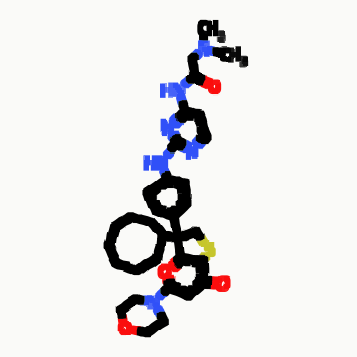 CN(C)CC(=O)Nc1ccnc(Nc2ccc(C3(C4CCCCCCC4)CSc4c3oc(N3CCOCC3)cc4=O)cc2)n1